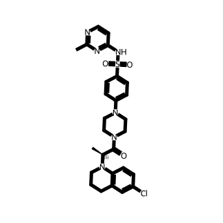 Cc1nccc(NS(=O)(=O)c2ccc(N3CCN(C(=O)[C@H](C)N4CCCc5cc(Cl)ccc54)CC3)cc2)n1